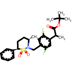 CC(C(=O)OC(C)(C)C)c1cc(F)c(CN2[C@@H](C)CC[C@H](c3ccccc3)S2(=O)=O)cc1F